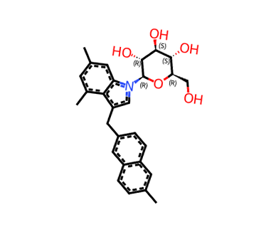 Cc1ccc2cc(Cc3cn([C@@H]4O[C@H](CO)[C@@H](O)[C@H](O)[C@H]4O)c4cc(C)cc(C)c34)ccc2c1